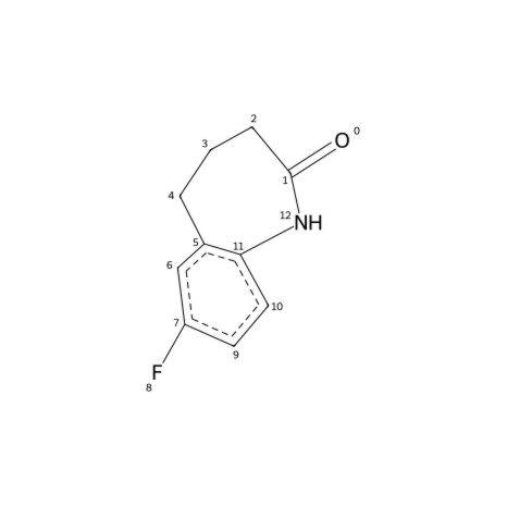 O=C1CCCc2cc(F)ccc2N1